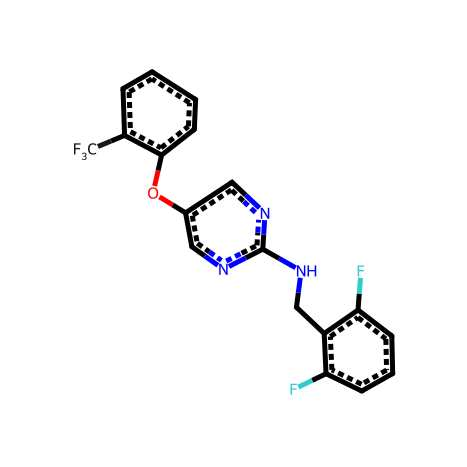 Fc1cccc(F)c1CNc1ncc(Oc2ccccc2C(F)(F)F)cn1